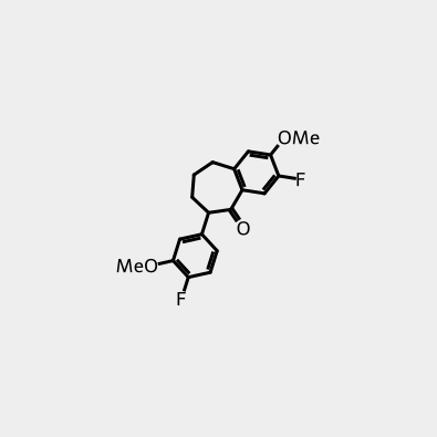 COc1cc(C2CCCc3cc(OC)c(F)cc3C2=O)ccc1F